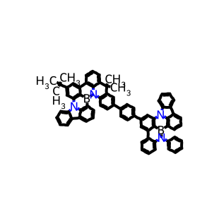 CC(C)(C)c1cc2c3c(c1)-n1c4ccccc4c4cccc(c41)B3N1c3ccc(-c4ccc(-c5cc6c7c(c5)-n5c8ccccc8c8cccc(c85)B7N(c5ccccc5)c5ccccc5-6)cc4)cc3C(C)(C)c3cccc-2c31